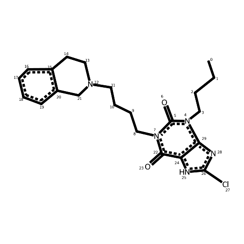 CCCCn1c(=O)n(CCCCN2CCc3ccccc3C2)c(=O)c2[nH]c(Cl)nc21